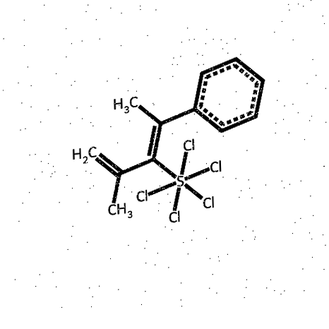 C=C(C)/C(=C(\C)c1ccccc1)S(Cl)(Cl)(Cl)(Cl)Cl